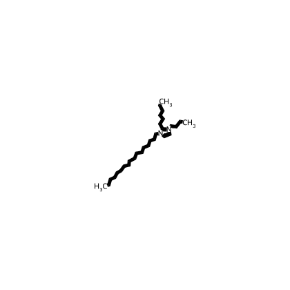 CCCCCCCCCCCCCCCCCn1cc[n+](CCCC)c1CCCCCC